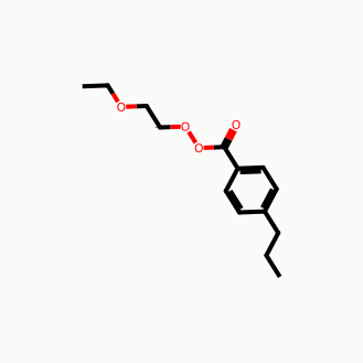 CCCc1ccc(C(=O)OO[CH]COCC)cc1